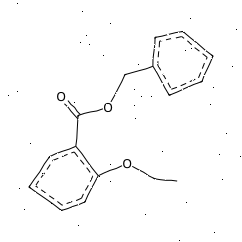 CCOc1ccccc1C(=O)OCc1ccccc1